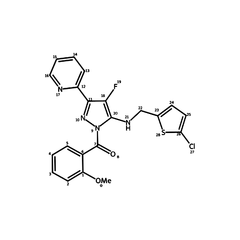 COc1ccccc1C(=O)n1nc(-c2ccccn2)c(F)c1NCc1ccc(Cl)s1